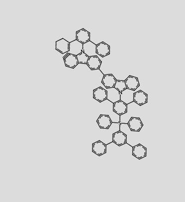 c1ccc2c3cc(-c4ccc5c(c4)c4ccccc4n5-c4c(-c5ccccc5)cc(S(c5ccccc5)(c5ccccc5)c5cc(-c6ccccc6)cc(-c6ccccc6)c5)cc4-c4ccccc4)ccc3n(-c3c(C4=CC=CCC4)cccc3-c3ccccc3)c2c#1